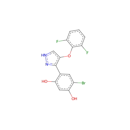 Oc1cc(O)c(-c2n[nH]cc2Oc2c(F)cccc2F)cc1Br